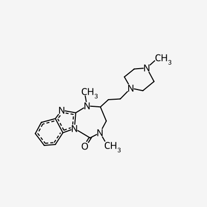 CN1CCN(CCC2CN(C)C(=O)n3c(nc4ccccc43)N2C)CC1